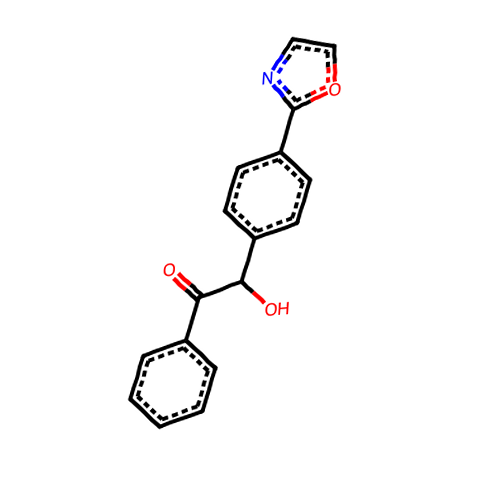 O=C(c1ccccc1)C(O)c1ccc(-c2ncco2)cc1